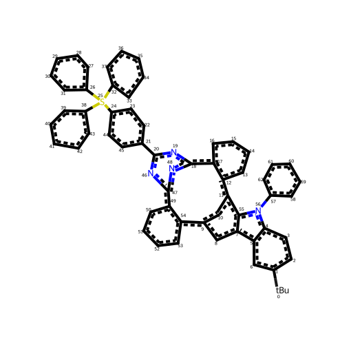 CC(C)(C)c1ccc2c(c1)c1cc3cc(c4ccccc4c4nc(-c5ccc(S(c6ccccc6)(c6ccccc6)c6ccccc6)cc5)nc(n4)c4ccccc34)c1n2-c1ccccc1